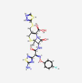 Nc1nc(C(=NOc2ccc(F)cc2)C(=O)NC2C(=O)N3C(C(=O)O)=C(CSc4nncs4)CS[C@@H]23)ns1